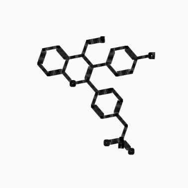 O=[SH](=O)Cc1ccc(C2=C(c3ccc(Cl)cc3)C(C=S)c3ccccc3O2)cc1